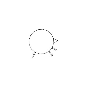 O=C1CCCCCCCCCC2CC2C(=O)C(=O)CC1